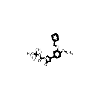 COc1ccc(C2CC(=O)N(C(=O)OC(C)(C)C)C2)cc1OCc1ccccc1